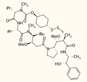 CC[C@H](C)[C@@H]([C@@H](CC(=O)N1CCC[C@H]1[C@H](OC)[C@@H](C)C(=O)N[C@H](C)[C@@H](O)c1ccccc1)OC)N(C)C(=O)[C@@H](NC(=O)[C@H](C(C)C)N(C)C(=O)O[C@H]1CC[C@H](SSI)CC1)C(C)C